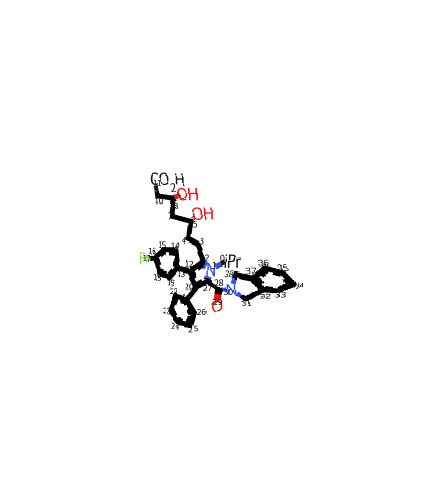 CC(C)n1c(CCC(O)CC(O)CC(=O)O)c(-c2ccc(F)cc2)c(-c2ccccc2)c1C(=O)N1Cc2ccccc2C1